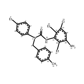 CCc1ccc(N(Cc2ccc(C)cc2)C(=O)Nc2c(CC)c(N)cc(Cl)c2CC)cc1